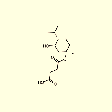 CC(C)[C@@H]1CC[C@@](C)(OC(=O)CCC(=O)O)C[C@H]1O